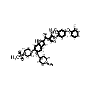 Cc1cc(Oc2ccccc2F)ccc1-n1ncc(C(=O)c2cc3cc(OC4CCN(C(C)C)CC4)c(N4CCN(S(C)(=O)=O)CC4)cc3[nH]2)c1N